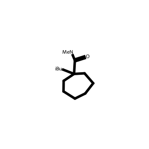 CCC(C)C1(C(=O)NC)CCCCCC1